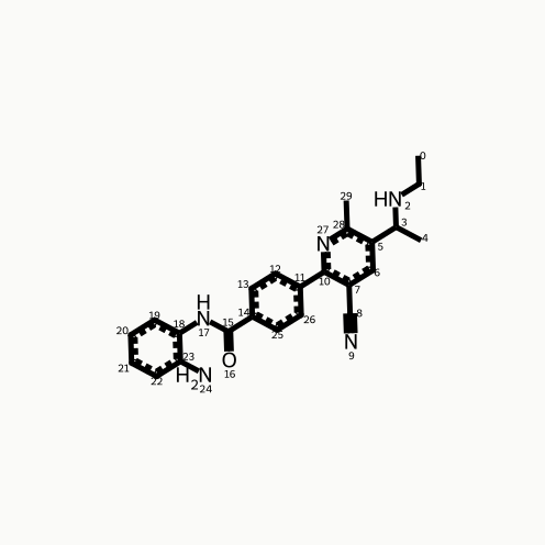 CCNC(C)c1cc(C#N)c(-c2ccc(C(=O)Nc3ccccc3N)cc2)nc1C